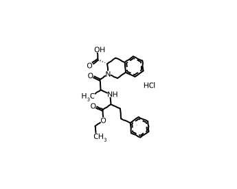 CCOC(=O)C(CCc1ccccc1)NC(C)C(=O)N1Cc2ccccc2C[C@H]1C(=O)O.Cl